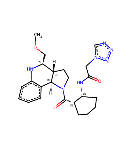 COC[C@@H]1Nc2ccccc2[C@H]2[C@H]1CCN2C(=O)[C@H]1CCCC[C@H]1NC(=O)Cn1cnnn1